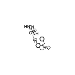 O=S(=O)(NCC1CN(c2ccc3c(c2)[C@@H](Cc2ccccc2)[C@@H](N2CCC2)CC3)C1)c1c[nH]cn1